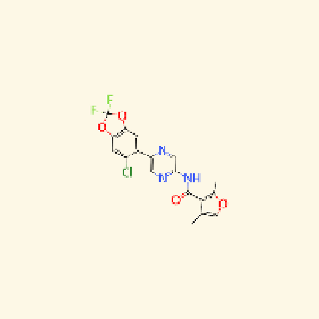 Cc1coc(C)c1C(=O)Nc1cnc(-c2cc3c(cc2Cl)OC(F)(F)O3)cn1